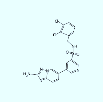 Nc1nc2ccc(-c3cncc(S(=O)(=O)NCc4cccc(Cl)c4Cl)c3)cn2n1